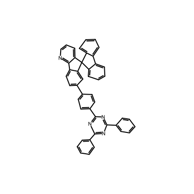 c1ccc(-c2nc(-c3ccccc3)nc(-c3ccc(-c4ccc5c(c4)C4(c6ccccc6-c6ccccc64)c4cccnc4-5)cc3)n2)cc1